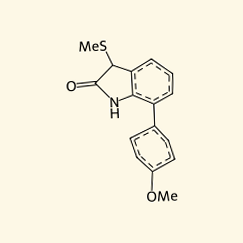 COc1ccc(-c2cccc3c2NC(=O)C3SC)cc1